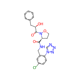 O=C(NCc1cc(Cl)ccc1-n1cnnn1)[C@@H]1CCON1C(=O)[C@H](O)Cc1ccccc1